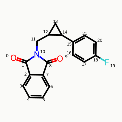 O=C1c2ccccc2C(=O)N1CC1CC1c1ccc(F)cc1